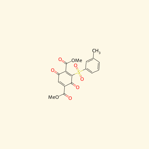 COC(=O)C1=CC(=O)C(C(=O)OC)=C(S(=O)(=O)c2cccc(C)c2)C1=O